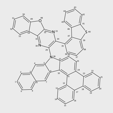 c1ccc2cc3c(cc2c1)c1c2c4ccccc4c4ccccc4c2ccc1n3-c1nc2c(nc1-c1cccc3sc4ccccc4c13)oc1ccccc12